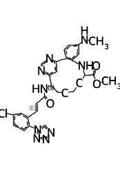 CNc1ccc2c(c1)NC(C(=O)OC)CCCC[C@H](NC(=O)/C=C/c1cc(Cl)ccc1-n1cnnn1)c1cc-2ncn1